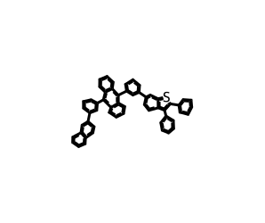 c1ccc(-c2sc3cc(-c4cccc(-c5c6ccccc6c(-c6cccc(-c7ccc8ccccc8c7)c6)c6ccccc56)c4)ccc3c2-c2ccccc2)cc1